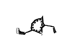 C=Cc1ccc(C=O)s1